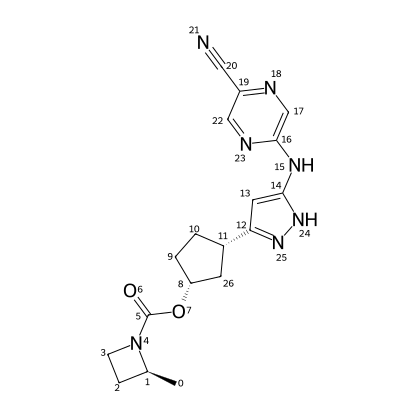 C[C@H]1CCN1C(=O)O[C@@H]1CC[C@H](c2cc(Nc3cnc(C#N)cn3)[nH]n2)C1